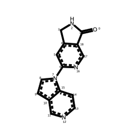 O=C1NCc2cc(-n3ccc4cnccc43)ncc21